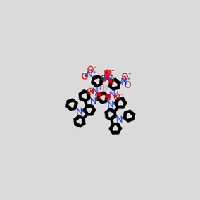 O=[N+]([O-])c1cc([N+](=O)[O-])c(B(c2cc(-n3c4ccccc4c4c3ccc3c5ccccc5n(-c5ccccc5)c34)cc(-n3c4ccccc4c4c3ccc3c5ccccc5n(-c5ccccc5)c34)c2)c2c([N+](=O)[O-])cc([N+](=O)[O-])cc2[N+](=O)[O-])c([N+](=O)[O-])c1